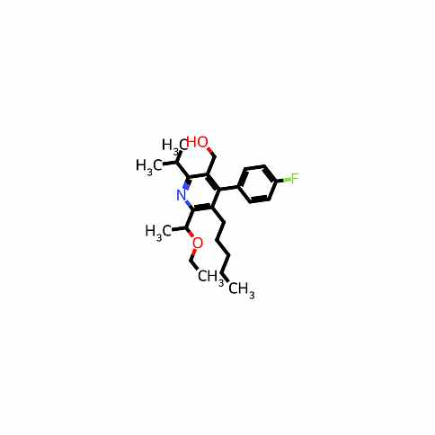 CCCCCc1c(C(C)OCC)nc(C(C)C)c(CO)c1-c1ccc(F)cc1